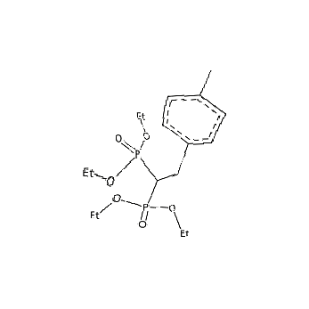 CCOP(=O)(OCC)C(Cc1ccc(C)cc1)P(=O)(OCC)OCC